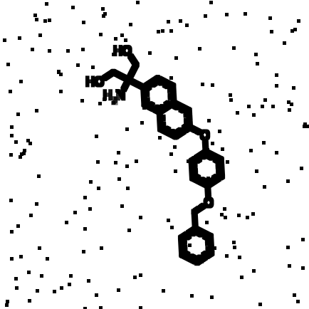 NC(CO)(CO)c1ccc2cc(Oc3ccc(OCc4ccccc4)cc3)ccc2c1